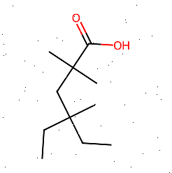 CCC(C)(CC)CC(C)(C)C(=O)O